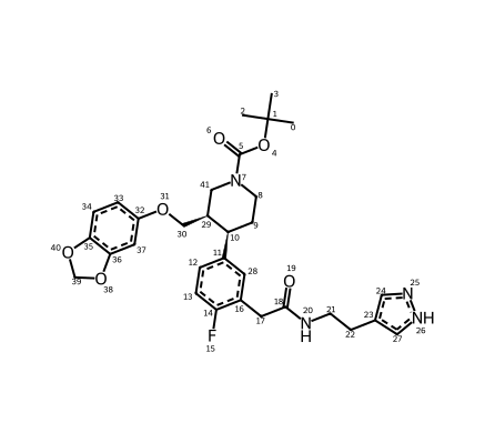 CC(C)(C)OC(=O)N1CC[C@@H](c2ccc(F)c(CC(=O)NCCc3cn[nH]c3)c2)[C@@H](COc2ccc3c(c2)OCO3)C1